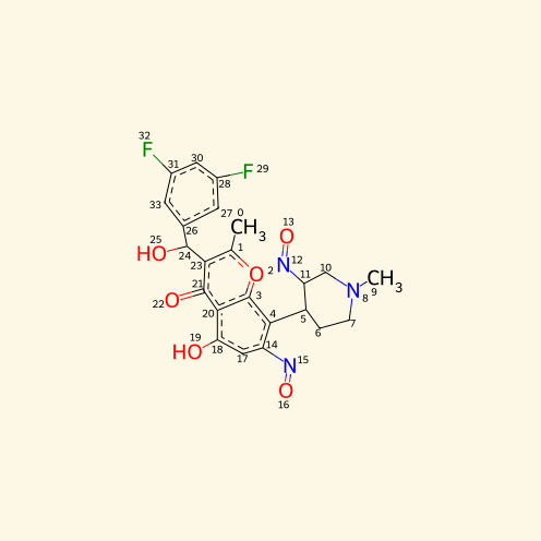 Cc1oc2c(C3CCN(C)CC3N=O)c(N=O)cc(O)c2c(=O)c1C(O)c1cc(F)cc(F)c1